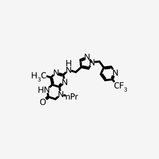 CCCN1CC(=O)Nc2c(C)nc(NCc3cnn(Cc4ccc(C(F)(F)F)nc4)c3)nc21